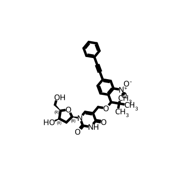 CC(C)(C)C(OCc1cn([C@H]2C[C@@H](O)[C@@H](CO)O2)c(=O)[nH]c1=O)c1ccc(C#Cc2ccccc2)cc1[N+](=O)[O-]